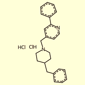 Cl.Cl.c1ccc(CC2CCN(Cc3ccnc(-c4ccccc4)c3)CC2)cc1